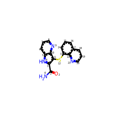 NC(=O)c1[nH]c2cccnc2c1Sc1cccc2cccnc12